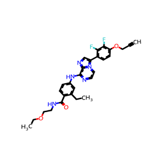 C#CCOc1ccc(-c2cnc3c(Nc4ccc(C(=O)NCCOCC)c(CC)c4)nccn23)c(F)c1F